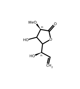 C=C[C@@H](O)C1OC(=O)[C@H](OC)C1O